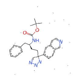 CC(C)(C)OC(=O)N[C@@H](CCC1(c2ccc3cnccc3c2)C=NN=N1)Cc1ccccc1